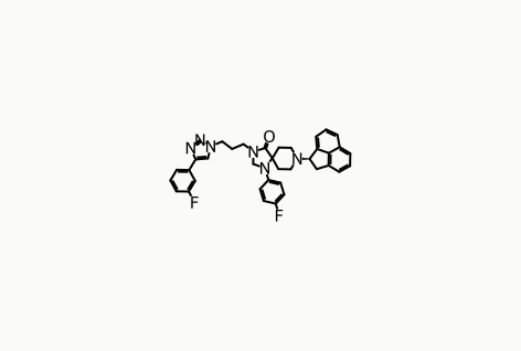 O=C1N(CCCn2cc(-c3cccc(F)c3)nn2)CN(c2ccc(F)cc2)C12CCN([C@@H]1Cc3cccc4cccc1c34)CC2